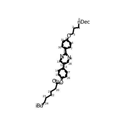 CCCCCCCCCCCCCOc1ccc(-c2ncc(-c3ccc(OC(=O)CCCCCC(C)CC)cc3)cn2)cc1